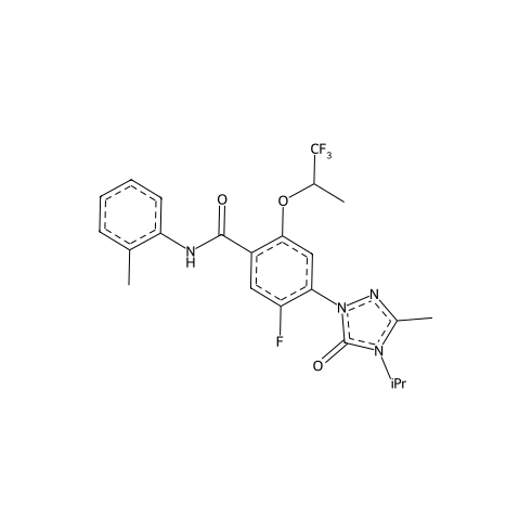 Cc1ccccc1NC(=O)c1cc(F)c(-n2nc(C)n(C(C)C)c2=O)cc1OC(C)C(F)(F)F